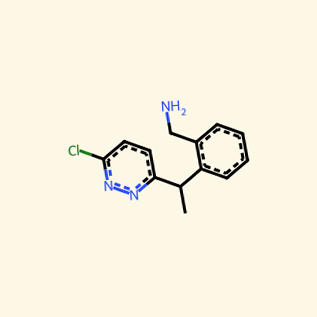 CC(c1ccc(Cl)nn1)c1ccccc1CN